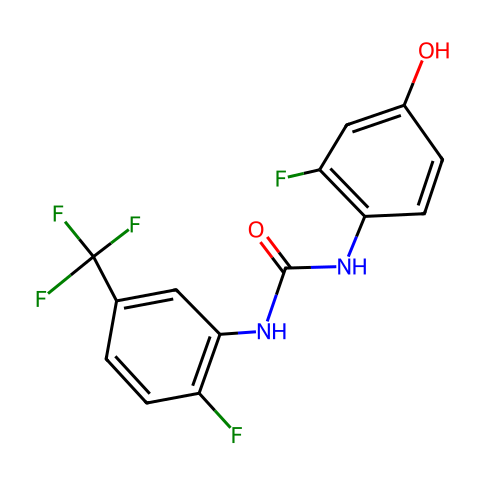 O=C(Nc1ccc(O)cc1F)Nc1cc(C(F)(F)F)ccc1F